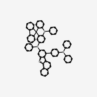 c1ccc(N(c2ccccc2)c2ccc(-c3cc(N(c4ccccc4)c4ccc5c(c4)C4(c6ccccc6-c6ccccc64)c4ccccc4N5c4ccccc4)cc4sc5c6ccccc6ccc5c34)cc2)cc1